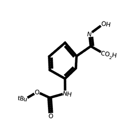 CC(C)(C)OC(=O)Nc1cccc(C(=NO)C(=O)O)c1